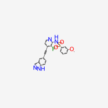 COc1cccc(S(=O)(=O)Nc2nccc(C#Cc3ccc4[nH]ncc4c3)c2F)c1